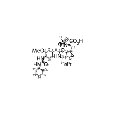 COc1cc(CC(=O)NC(CC(C)C)c2csc(CC(NS(C)(=O)=O)C(=O)O)c2)ccc1NC(=O)Nc1ccccc1C